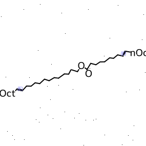 CCCCCCCC/C=C/CCCCCCCCCCCCOC(=O)CCCCCCC/C=C/CCCCCCCC